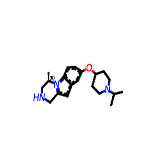 CC(C)N1CCC(Oc2ccc3c(c2)cc2n3[C@H](C)CNC2)CC1